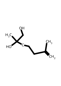 C=C(C)CCCC(C)(O)CO